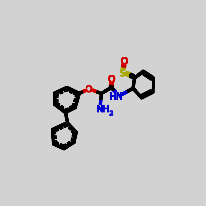 NC(Oc1cccc(-c2ccccc2)c1)C(=O)NC1C=CC=CC1=S=O